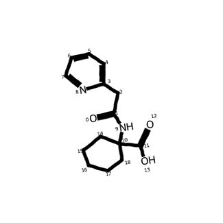 O=C(Cc1ccccn1)NC1(C(=O)O)CCCCC1